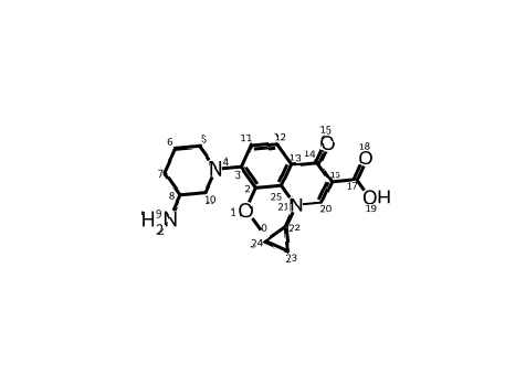 COc1c(N2CCCC(N)C2)ccc2c(=O)c(C(=O)O)cn(C3CC3)c12